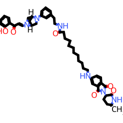 C=C1CCC(N2C(=O)c3ccc(NCCCCCCCCCCCC(=O)NCCc4cccc(N5C[C@H]6C[C@@H]5CN6/C=C/C(=O)c5ccccc5O)c4)cc3C2=O)C(=O)N1